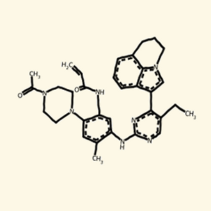 C=CC(=O)Nc1cc(Nc2ncc(CC)c(-c3cn4c5c(cccc35)CCC4)n2)c(C)cc1N1CCN(C(C)=O)CC1